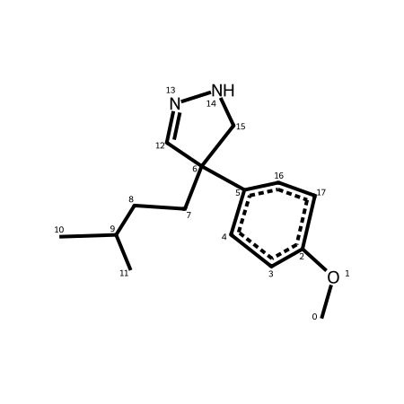 COc1ccc(C2(CCC(C)C)C=NNC2)cc1